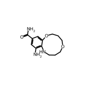 NC(=O)c1cc(N)c2c(c1)OCCCOCCCN2